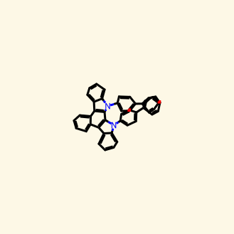 c1ccc(-c2ccc(-n3c4ccccc4c4c5ccccc5c5c6ccccc6n(-c6ccc(-c7ccccc7)cc6)c5c43)cc2)cc1